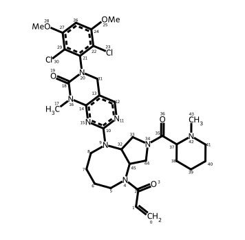 C=CC(=O)N1CCCCN(c2ncc3c(n2)N(C)C(=O)N(c2c(Cl)c(OC)cc(OC)c2Cl)C3)C2CN(C(=O)C3CCCCN3C)CC21